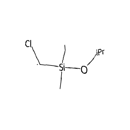 CC(C)O[Si](C)(C)[CH]Cl